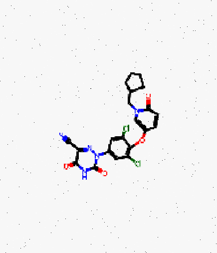 N#Cc1nn(-c2cc(Cl)c(Oc3ccc(=O)n(CC4CCCC4)c3)c(Cl)c2)c(=O)[nH]c1=O